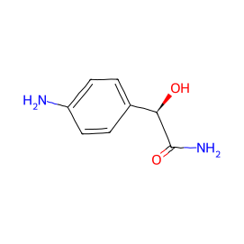 NC(=O)[C@H](O)c1ccc(N)cc1